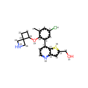 Cc1cc(Cl)cc(-c2ccnc3cc(CO)sc23)c1OC1CCC12CNC2